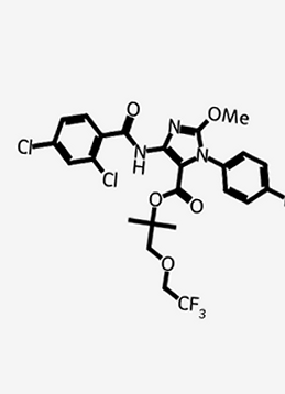 COc1nc(NC(=O)c2ccc(Cl)cc2Cl)c(C(=O)OC(C)(C)COCC(F)(F)F)n1-c1ccc(F)cc1